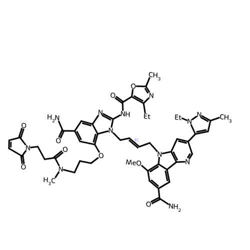 CCc1nc(C)oc1C(=O)Nc1nc2cc(C(N)=O)cc(OCCCN(C)C(=O)CCN3C(=O)C=CC3=O)c2n1C/C=C/Cn1c2cc(-c3cc(C)nn3CC)cnc2c2cc(C(N)=O)cc(OC)c21